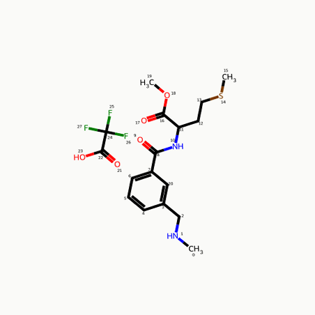 CNCc1cccc(C(=O)NC(CCSC)C(=O)OC)c1.O=C(O)C(F)(F)F